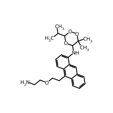 CC(C)C1OOC(C)(C)C(Nc2cccc3c(CCOCCN)c4ccccc4cc23)O1